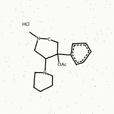 CC(=O)OC1(c2ccccc2)CCN(C)CC1N1CCCCC1.Cl